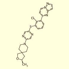 C[C@@H]1CC2(CCN(c3cnc(Sc4cccc(-c5ccn6nccc6n5)c4Cl)cn3)CC2)CO1